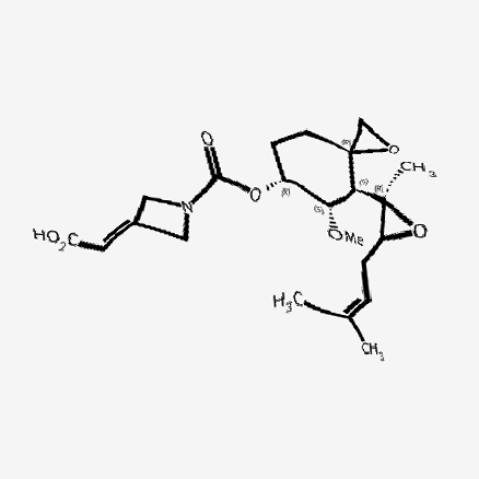 CO[C@@H]1[C@H](OC(=O)N2CC(=CC(=O)O)C2)CC[C@]2(CO2)[C@H]1[C@@]1(C)OC1CC=C(C)C